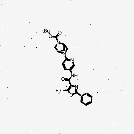 CC(C)(C)OC(=O)N1CC2CC1CN2c1ccc(NC(=O)c2nc(-c3ccccc3)oc2C(F)(F)F)cn1